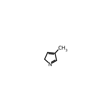 CC1=CCN=C1